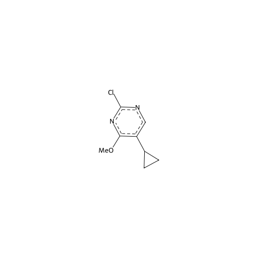 COc1nc(Cl)ncc1C1CC1